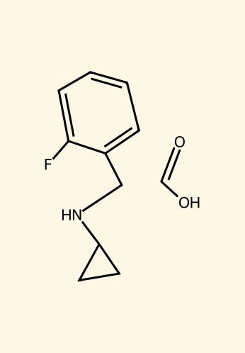 Fc1ccccc1CNC1CC1.O=CO